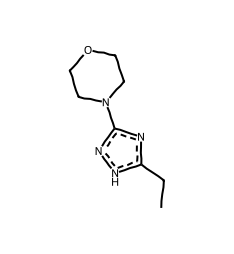 CCc1nc(N2CCOCC2)n[nH]1